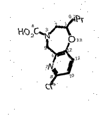 CC(C)C1CN(C(=O)O)Cc2nc(Cl)ccc2O1